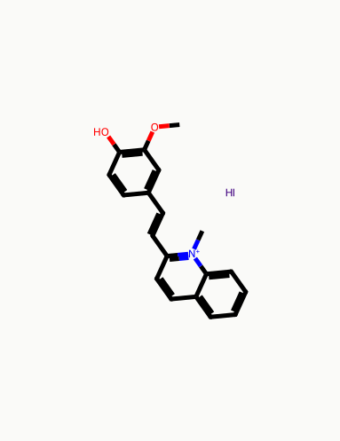 COc1cc(C=Cc2ccc3ccccc3[n+]2C)ccc1O.I